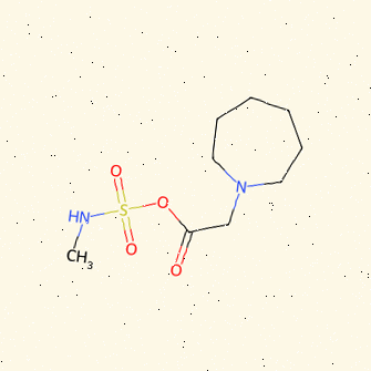 CNS(=O)(=O)OC(=O)CN1CCCCCC1